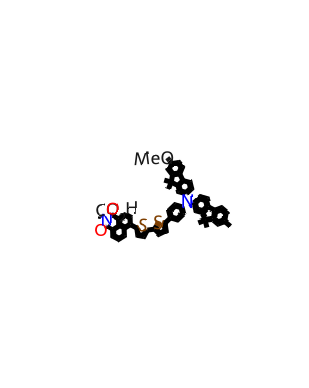 COc1ccc2c(c1)C(C)(C)c1cc(N(c3ccc(-c4ccc(-c5ccc(-c6ccc7c8c(cccc68)C(=O)N(CC(=O)O)C7=O)s5)s4)cc3)c3ccc4c(c3)C(C)(C)c3cc(C)ccc3-4)ccc1-2